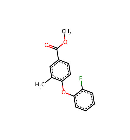 COC(=O)c1ccc(Oc2ccccc2F)c(C)c1